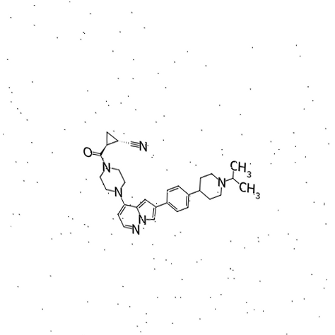 CC(C)N1CCC(c2ccc(-c3cc4c(N5CCN(C(=O)[C@H]6C[C@@H]6C#N)CC5)ccnn4c3)cc2)CC1